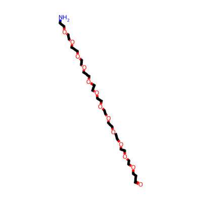 NCCOCCOCCOCCOCCOCCOCCOCCOCCOCCOCCOCCOCCC=O